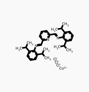 CC(C)c1cccc(C(C)C)c1N=Cc1cccc(C=Nc2c(C(C)C)cccc2C(C)C)n1.[Cl-].[Cl-].[Cl-].[Co+3]